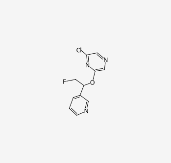 FCC(Oc1cncc(Cl)n1)c1cccnc1